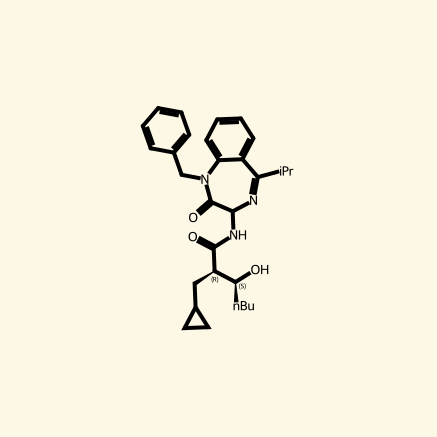 CCCC[C@H](O)[C@@H](CC1CC1)C(=O)NC1N=C(C(C)C)c2ccccc2N(Cc2ccccc2)C1=O